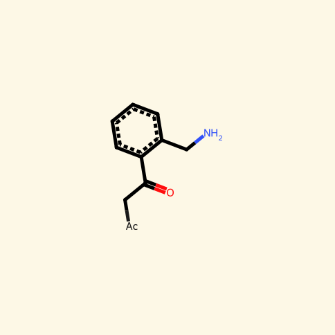 CC(=O)CC(=O)c1ccccc1CN